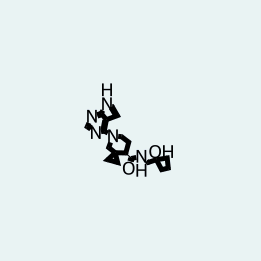 O=C(NCC1(O)CCC1)[C@H]1CCN(c2ncnc3[nH]ccc23)CC12CC2